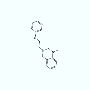 CN1CN(CCOc2ccccc2)Cc2ccccc21